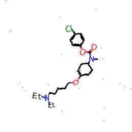 CCN(CC)CCCCCOC1CCC(N(C)C(=O)Oc2ccc(Cl)cc2)CC1